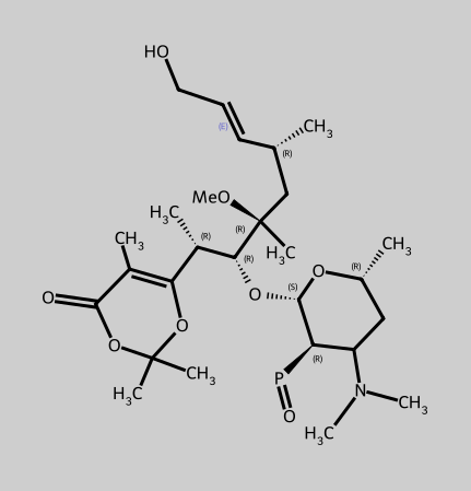 CO[C@](C)(C[C@@H](C)/C=C/CO)[C@H](O[C@@H]1O[C@H](C)CC(N(C)C)[C@H]1P=O)[C@@H](C)C1=C(C)C(=O)OC(C)(C)O1